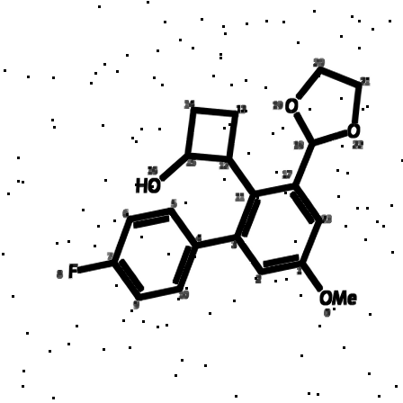 COc1cc(-c2ccc(F)cc2)c(C2CCC2O)c(C2OCCO2)c1